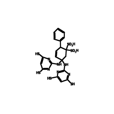 O=S(=O)(O)C1(S(=O)(=O)O)CC(Nc2nc(S)cc(S)n2)(Nc2nc(S)cc(S)n2)C=CC1c1ccccc1